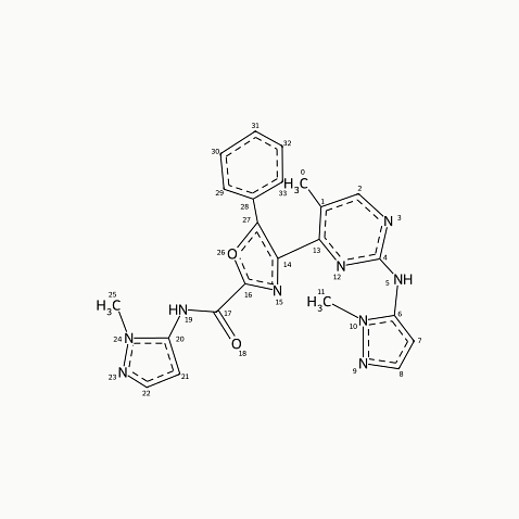 Cc1cnc(Nc2ccnn2C)nc1-c1nc(C(=O)Nc2ccnn2C)oc1-c1ccccc1